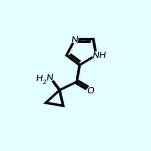 NC1(C(=O)c2cnc[nH]2)CC1